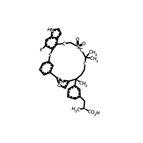 C[C@@H](Cc1cccc([C@@]2(C)CCCC(C)(C)CS(=O)(=O)CCc3c(c(F)cc4[nH]ccc34)Sc3cccc(c3)-c3nc2co3)c1)C(=O)O